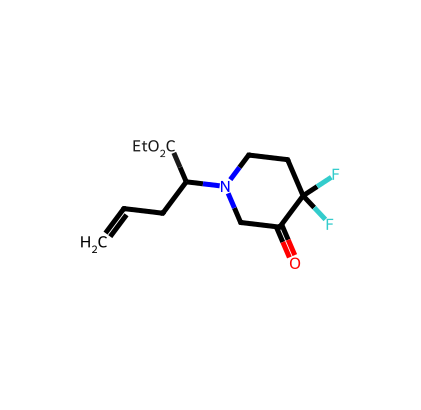 C=CCC(C(=O)OCC)N1CCC(F)(F)C(=O)C1